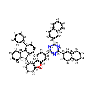 c1ccc(-c2cccc3c2-c2ccccc2C3c2cccc3oc4cc(-c5nc(-c6ccc7ccccc7c6)nc(-c6ccc7ccccc7c6)n5)ccc4c23)cc1